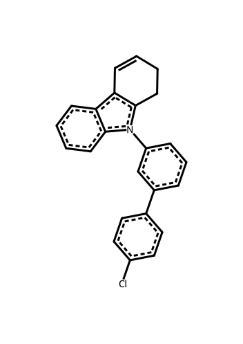 Clc1ccc(-c2cccc(-n3c4c(c5ccccc53)C=CCC4)c2)cc1